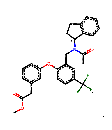 COC(=O)Cc1cccc(Oc2ccc(C(F)(F)F)cc2CN(C(C)=O)[C@H]2CCc3ccccc32)c1